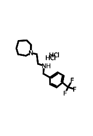 Cl.Cl.FC(F)(F)c1ccc(CNCCN2CCCCCC2)cc1